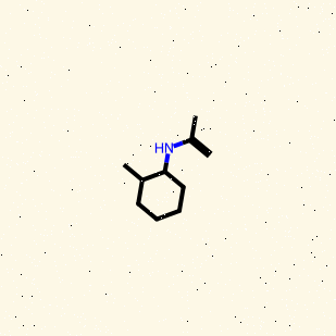 C=C(C)NC1CCCCC1C